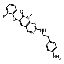 Cn1c(=O)c(Oc2ccccc2F)cc2cnc(NCCc3ccc(N)cc3)nc21